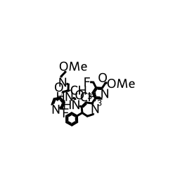 COCCN1C[C@](C)(NC(=O)NC2=C(C)C(c3cnc(C(=O)OC)c(CF)c3)=NCCC2c2ccccc2)[C@H](c2ccnc(F)c2)O1